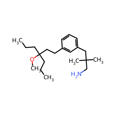 CCCC(CCC)(CCc1cccc(CC(C)(C)CN)c1)OC